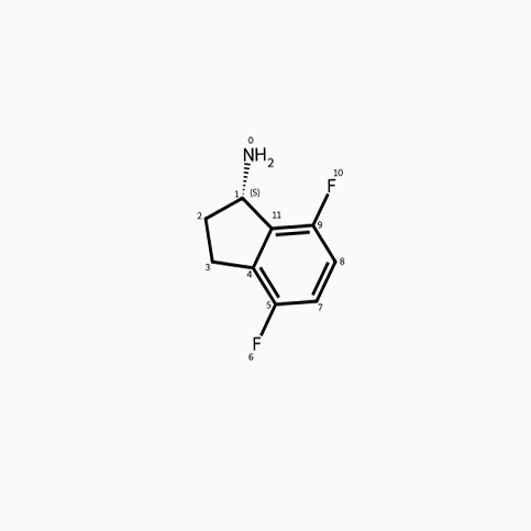 N[C@H]1CCc2c(F)ccc(F)c21